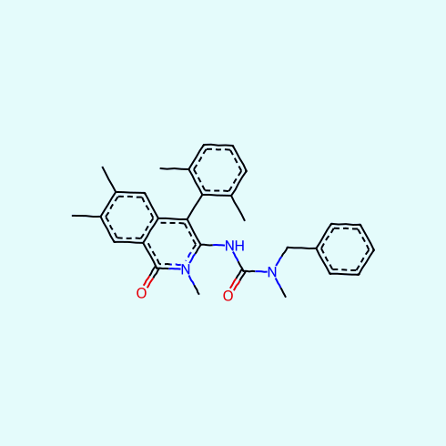 Cc1cc2c(-c3c(C)cccc3C)c(NC(=O)N(C)Cc3ccccc3)n(C)c(=O)c2cc1C